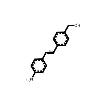 Nc1ccc(/C=C/c2ccc(CO)cc2)cc1